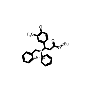 CC[C@]1(N(Cc2ccccc2)C(CC(=O)OC(C)(C)C)c2ccc(Cl)c(C(F)(F)F)c2)C=CC=CC1